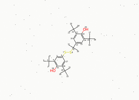 CC(C)(C)c1cc(SSC(C)(C)c2cc(C(C)(C)C)c(O)c(C(C)(C)C)c2)cc(C(C)(C)C)c1O